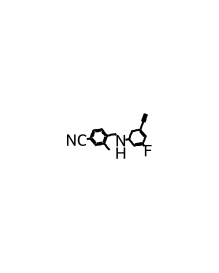 C#CC1=CC(F)=CC(NCc2ccc(C#N)cc2C)C1